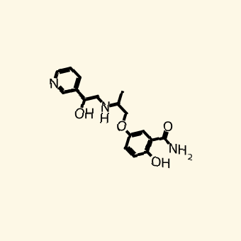 CC(COc1ccc(O)c(C(N)=O)c1)NCC(O)c1cccnc1